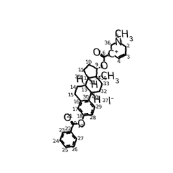 CN1CC=C[C+](C(=O)O[C@H]2CC[C@H]3[C@@H]4CCc5cc(OC(=O)c6ccccc6)ccc5[C@H]4CC[C@]23C)C1.[I-]